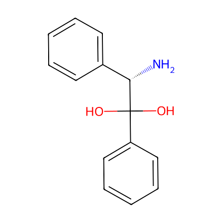 N[C@@H](c1ccccc1)C(O)(O)c1ccccc1